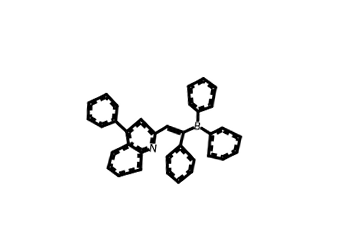 C(=C(\B(c1ccccc1)c1ccccc1)c1ccccc1)/c1cc(-c2ccccc2)c2ccccc2n1